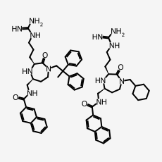 CC(CN1CC[C@@H](CNC(=O)c2ccc3ccccc3c2)N[C@@H](CCCNC(=N)N)C1=O)(c1ccccc1)c1ccccc1.N=C(N)NCCC[C@@H]1N[C@H](CNC(=O)c2ccc3ccccc3c2)CCN(CC2CCCCC2)C1=O